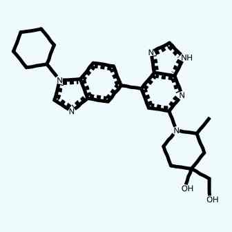 CC1CC(O)(CO)CCN1c1cc(-c2ccc3c(c2)ncn3C2CCCCC2)c2nc[nH]c2n1